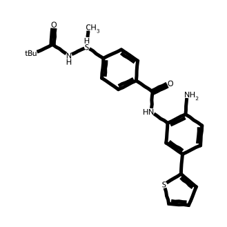 C[SH](NC(=O)C(C)(C)C)c1ccc(C(=O)Nc2cc(-c3cccs3)ccc2N)cc1